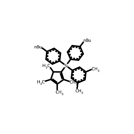 CCCCc1ccc([Si](C2=C(C)C(C)=C(C)C2C)(c2ccc(CCCC)cc2)c2cc(C)cc(C)c2)cc1